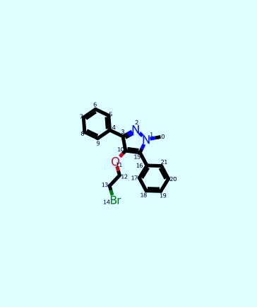 Cn1nc(-c2ccccc2)c(OCCBr)c1-c1ccccc1